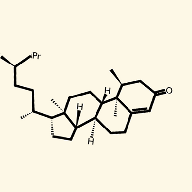 CC[C@H](CC[C@@H](C)[C@H]1CC[C@H]2[C@@H]3CCC4=CC(=O)C[C@H](C)[C@]4(C)[C@H]3CC[C@]12C)C(C)C